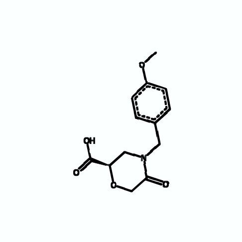 COc1ccc(CN2C[C@H](C(=O)O)OCC2=O)cc1